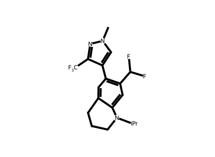 CC(C)N1CCCc2cc(-c3cn(C)nc3C(F)(F)F)c(C(F)F)cc21